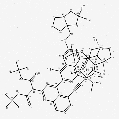 CC(C)[Si](C#Cc1cccc2nc(N(C(=O)OC(C)(C)C)C(=O)OC(C)(C)C)cc(-c3nc4c5c(nc(OCC67CCCN6CC(F)(F)C7)nc5c3F)N3C[C@H]5CC[C@@H]([C@H]3[C@H](C)O4)N5C(=O)OC(C)(C)C)c12)(C(C)C)C(C)C